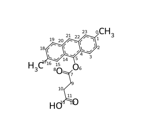 Cc1ccc2c(OC(=O)CCC(=O)O)c3cc(C)ccc3cc2c1